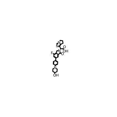 O=C(O)C(c1ncn2c1CCC2)N1Cc2c(F)cc(-c3ccc(N4CCC(O)CC4)cc3)cc2C1=O